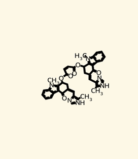 Cc1[nH]cnc1/C=C1/CC(OC(=O)/C=C\C(=O)OC2C/C(=C/c3nc[nH]c3C)C(=O)c3c2n(C)c2ccccc32)c2c(c3ccccc3n2C)C1=O